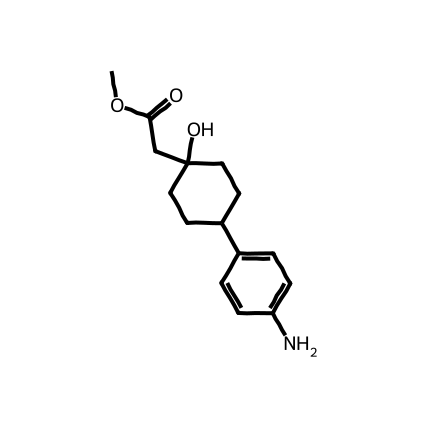 COC(=O)CC1(O)CCC(c2ccc(N)cc2)CC1